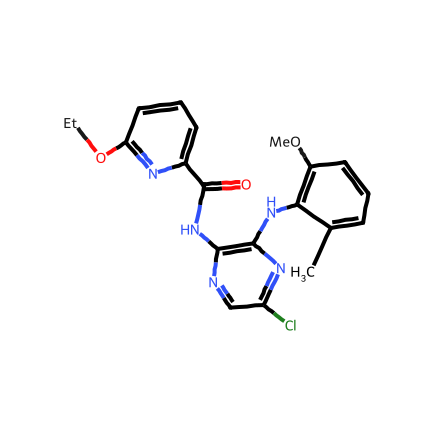 CCOc1cccc(C(=O)Nc2ncc(Cl)nc2Nc2c(C)cccc2OC)n1